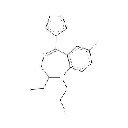 ClCCN1c2ccc(Cl)cc2C(c2ccsc2)=NCC1CCl